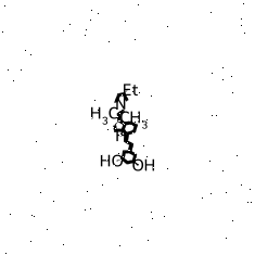 CC[C@H]1CCN(C[C@@H](C)[C@H]2CC[C@H]3/C(=C/C=C4C[C@@H](O)C[C@H](O)C4)CCC[C@]23C)C1